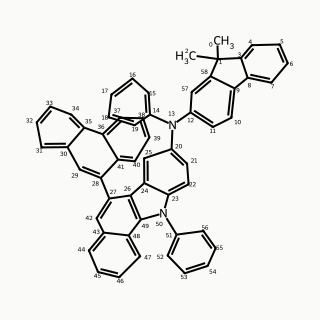 CC1(C)c2ccccc2-c2ccc(N(c3ccccc3)c3ccc4c(c3)c3c(-c5cc6ccccc6c6ccccc56)cc5ccccc5c3n4-c3ccccc3)cc21